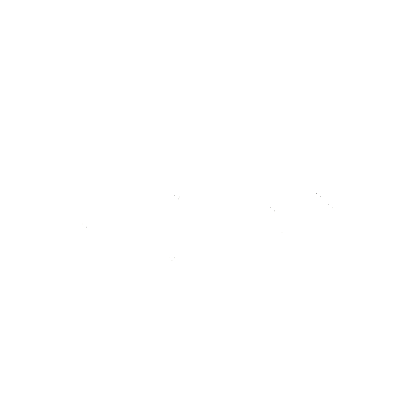 COc1cc2c(Oc3ccc(NC(=O)c4ccnn(-c5ccc(F)cc5)c4=O)cc3F)ccnc2cc1OCCCN1CCCCC1